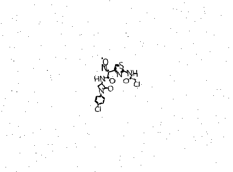 CON=C(C(=O)NC1CN(c2ccc(Cl)cc2)C1=O)c1csc(NC(=O)CCl)n1